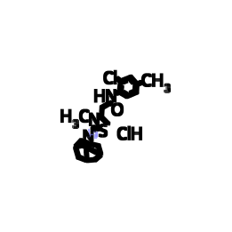 Cc1ccc(NC(=O)CC2CS/C(=N\C34CC5CC(CC(C5)C3)C4)N2C)c(Cl)c1.Cl